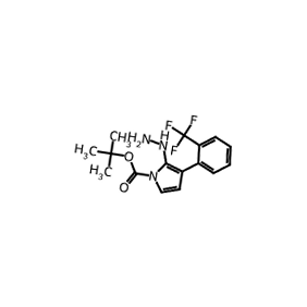 CC(C)(C)OC(=O)n1ccc(-c2ccccc2C(F)(F)F)c1NN